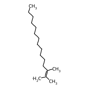 [CH2]C(C)=C(C)CCCCCCCCCCCC